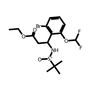 CCOC(=O)CC(N[S+]([O-])C(C)(C)C)c1c(Br)cccc1OC(F)F